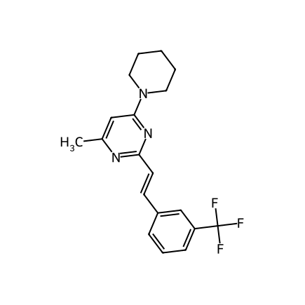 Cc1cc(N2CCCCC2)nc(C=Cc2cccc(C(F)(F)F)c2)n1